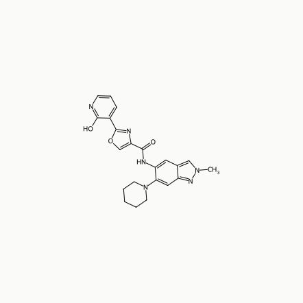 Cn1cc2cc(NC(=O)c3coc(-c4cccnc4O)n3)c(N3CCCCC3)cc2n1